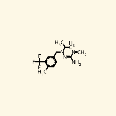 C=N/C(N)=N\N(Cc1ccc(C)c(C(F)(F)F)c1)C(C)C